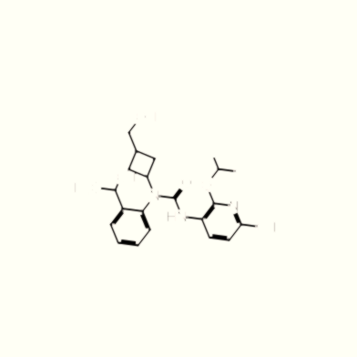 Cc1ccc(NC(=O)N(c2ccccc2C(C)C)C2CC(CO)C2)c(OC(F)F)n1